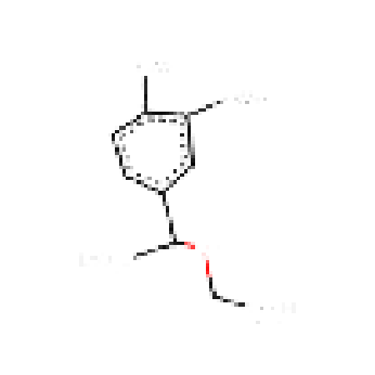 CCOC(=O)C(OCC(=O)O)c1ccc(OC)c(OC)c1